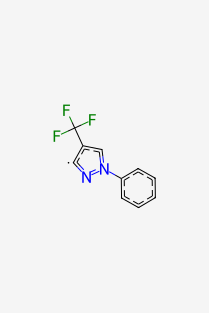 FC(F)(F)c1[c]nn(-c2ccccc2)c1